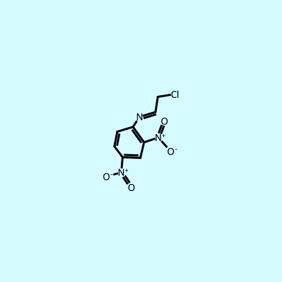 O=[N+]([O-])c1ccc(/N=C/CCl)c([N+](=O)[O-])c1